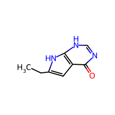 CCc1cc2c(=O)nc[nH]c2[nH]1